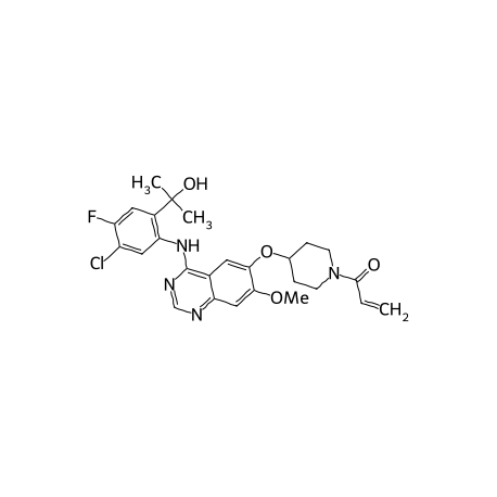 C=CC(=O)N1CCC(Oc2cc3c(Nc4cc(Cl)c(F)cc4C(C)(C)O)ncnc3cc2OC)CC1